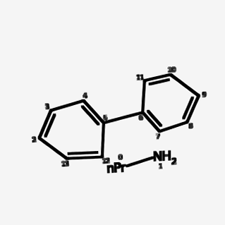 CCCN.c1ccc(-c2ccccc2)cc1